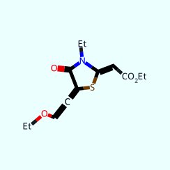 CCOC=C=c1s/c(=C\C(=O)OCC)n(CC)c1=O